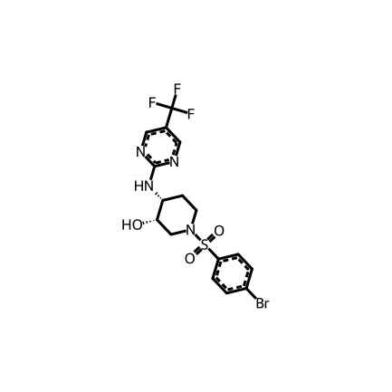 O=S(=O)(c1ccc(Br)cc1)N1CC[C@@H](Nc2ncc(C(F)(F)F)cn2)[C@@H](O)C1